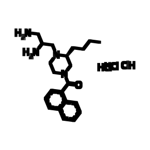 CCCC[C@H]1CN(C(=O)c2cccc3ccccc23)CCN1CC(N)CN.Cl.Cl.Cl